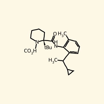 Cc1cccc(C(C)C2CC2)c1NC(=O)[C@@]1(C(C)(C)C)CCCCN1C(=O)O